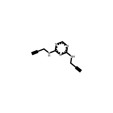 C#CCNc1n[c]nc(NCC#C)n1